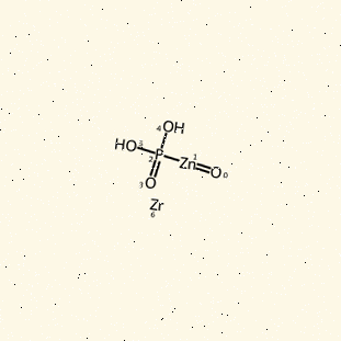 [O]=[Zn][P](=O)(O)O.[Zr]